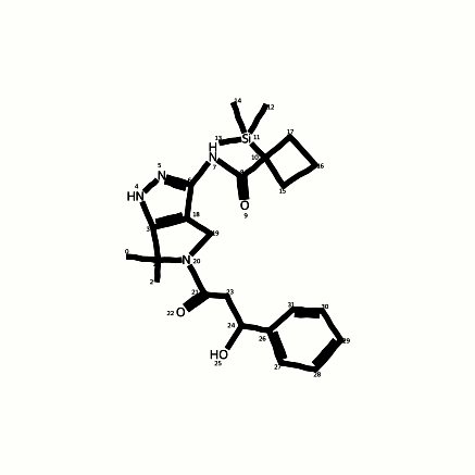 CC1(C)c2[nH]nc(NC(=O)C3([Si](C)(C)C)CCC3)c2CN1C(=O)CC(O)c1ccccc1